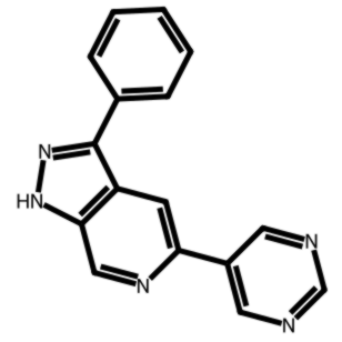 c1ccc(-c2n[nH]c3cnc(-c4cncnc4)cc23)cc1